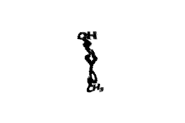 CCOC1CN(CCO)C1